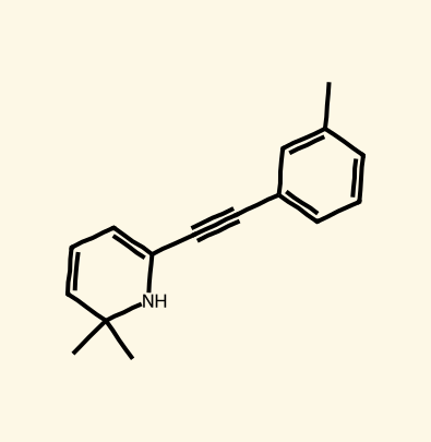 Cc1cccc(C#CC2=CC=CC(C)(C)N2)c1